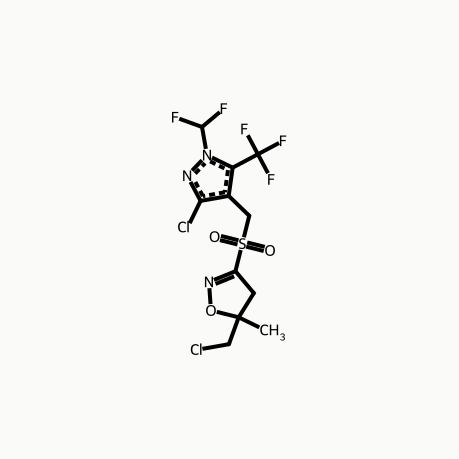 CC1(CCl)CC(S(=O)(=O)Cc2c(Cl)nn(C(F)F)c2C(F)(F)F)=NO1